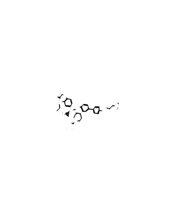 COCCCN1C(=O)COc2ccc(N(C(=O)[C@H]3CN(C(=O)OC(C)(C)C)CC[C@@H]3c3cccc(-c4ccc(OCCCN(C)C)cc4)c3)C3CC3)cc21